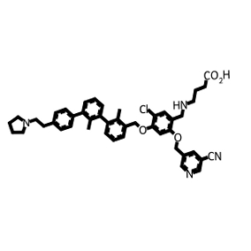 Cc1c(COc2cc(OCc3cncc(C#N)c3)c(CNCCCC(=O)O)cc2Cl)cccc1-c1cccc(-c2ccc(CCN3CCCC3)cc2)c1C